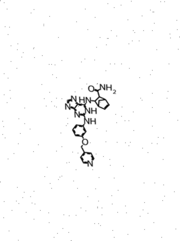 NC(=O)C1C2C=CC(C2)C1Nc1[nH]c(Nc2cccc(OCc3ccncc3)c2)nc2ncnc1-2